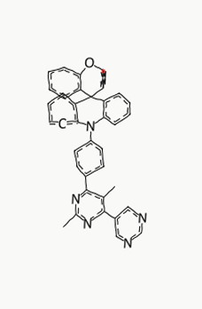 Cc1nc(-c2ccc(N3c4ccccc4C4(c5ccccc5Oc5ccccc54)c4ccccc43)cc2)c(C)c(-c2cncnc2)n1